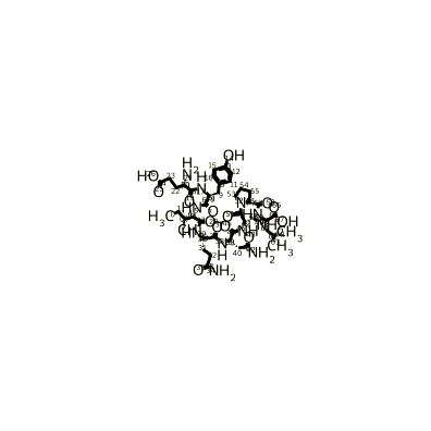 CC[C@H](C)[C@H](NC(=O)[C@H](Cc1ccc(O)cc1)NC(=O)[C@@H](N)CCC(=O)O)C(=O)N[C@@H](CCC(N)=O)C(=O)N[C@@H](CC(N)=O)C(=O)N[C@@H](CN)C(=O)N1CCC[C@H]1C(=O)N[C@@H](CC(C)C)C(=O)O